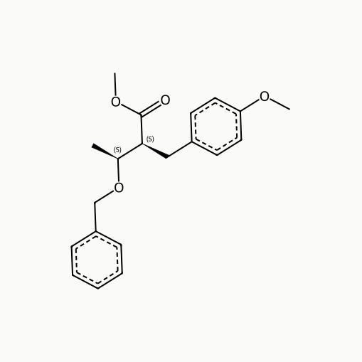 COC(=O)[C@@H](Cc1ccc(OC)cc1)[C@H](C)OCc1ccccc1